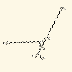 CCCCCCCCC=CCCCCCCCC(=O)OCC(CNC(=O)OCCN(C)CCO)OC(=O)CCCCCCCC=CCCCCCCCC